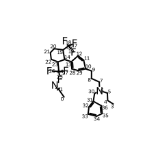 CC#N.CCCN(CCCc1ccc(C2C(C(F)(F)F)CCCC2C(F)(F)F)cc1)Cc1ccccc1